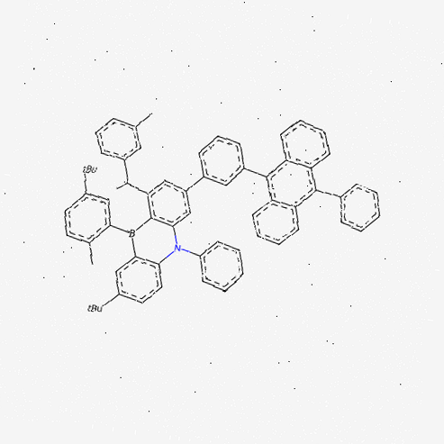 Cc1cccc(C(C)c2cc(-c3cccc(-c4c5ccccc5c(-c5ccccc5)c5ccccc45)c3)cc3c2B(c2cc(C(C)(C)C)ccc2C)c2cc(C(C)(C)C)ccc2N3c2ccccc2)c1